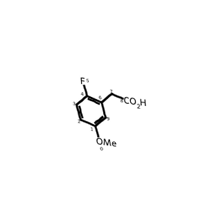 COc1ccc(F)c(CC(=O)O)c1